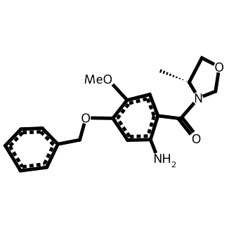 COc1cc(C(=O)N2COC[C@H]2C)c(N)cc1OCc1ccccc1